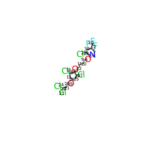 FC(F)(F)c1cnc(OCCCCOc2c(Cl)cc(OCC=C(Cl)Cl)cc2Cl)c(Cl)c1